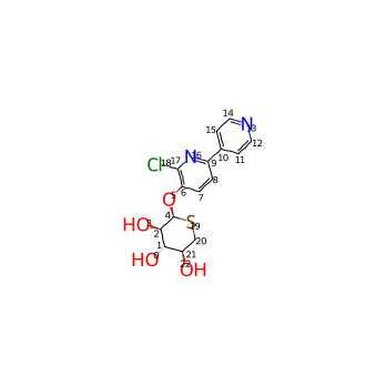 O[C@@H]1[C@@H](O)[C@@H](Oc2ccc(-c3ccncc3)nc2Cl)SC[C@H]1O